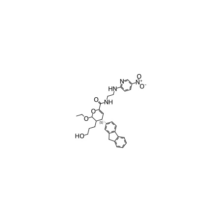 CCOC1OC(C(=O)NCCNc2ccc([N+](=O)[O-])cn2)=C[C@H](c2ccc3c(c2)Cc2ccccc2-3)C1CCCO